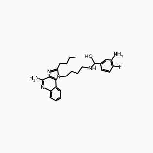 CCCCc1nc2c(N)nc3ccccc3c2n1CCCCNC(O)c1ccc(F)c(N)c1